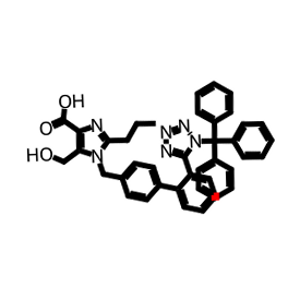 CCCc1nc(C(=O)O)c(CO)n1Cc1ccc(-c2ccccc2-c2nnnn2C(c2ccccc2)(c2ccccc2)c2ccccc2)cc1